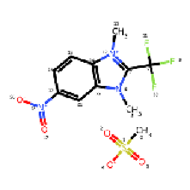 CS(=O)(=O)[O-].Cn1c(C(F)(F)F)[n+](C)c2ccc([N+](=O)[O-])cc21